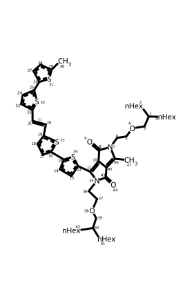 CCCCCCC(CCCCCC)COCCN1C(=O)C2=C(c3ccc(-c4ccc(/C=C/c5ccc(-c6ccc(C)s6)s5)s4)s3)N(CCOCC(CCCCCC)CCCCCC)C(=O)C2=C1C